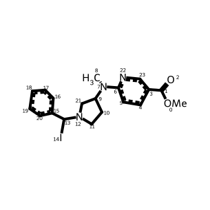 COC(=O)c1ccc(N(C)C2CCN(C(I)c3ccccc3)C2)nc1